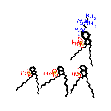 CCCCCCCCCc1cc2ccccc2c(S(=O)(=O)O)c1CCCCCCCCC.CCCCCCCCCc1cc2ccccc2c(S(=O)(=O)O)c1CCCCCCCCC.CCCCCCCCCc1cc2ccccc2c(S(=O)(=O)O)c1CCCCCCCCC.CCCCCCCCCc1cc2ccccc2c(S(=O)(=O)O)c1CCCCCCCCC.NCCN.NCCN